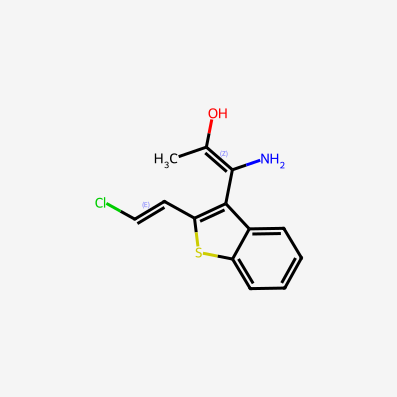 C/C(O)=C(/N)c1c(/C=C/Cl)sc2ccccc12